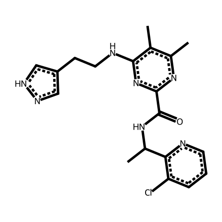 Cc1nc(C(=O)NC(C)c2ncccc2Cl)nc(NCCc2cn[nH]c2)c1C